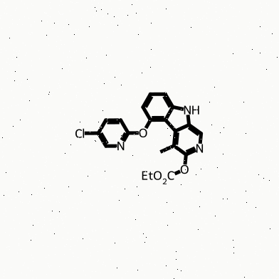 CCOC(=O)Oc1ncc2[nH]c3cccc(Oc4ccc(Cl)cn4)c3c2c1C